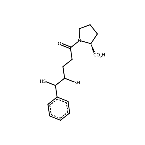 O=C(O)[C@@H]1CCCN1C(=O)CCC(S)C(S)c1ccccc1